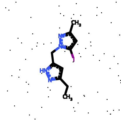 CCc1cc(Cn2nc(C)cc2I)[nH]n1